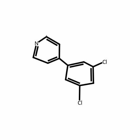 Clc1cc(Cl)cc(-c2c[c]ncc2)c1